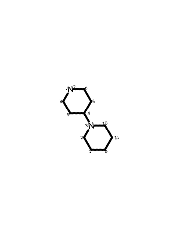 C1CCN(C2CC[N]CC2)CC1